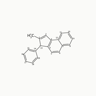 CC1=Cc2c(ccc3ccccc23)[C]1c1ccccc1